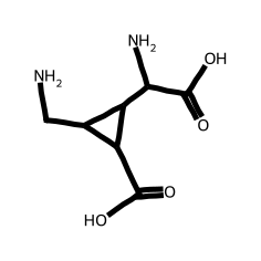 NCC1C(C(=O)O)C1C(N)C(=O)O